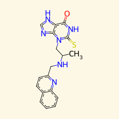 CC(Cn1c(=S)[nH]c(=O)c2[nH]cnc21)NCc1ccc2ccccc2n1